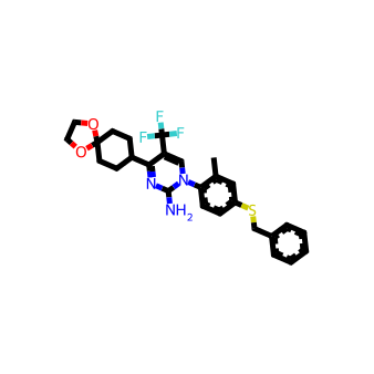 Cc1cc(SCc2ccccc2)ccc1N1C=C(C(F)(F)F)C(C2CCC3(CC2)OCCO3)=NC1N